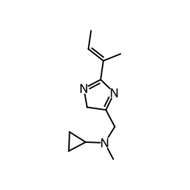 C/C=C(\C)C1=NCC(CN(C)C2CC2)=N1